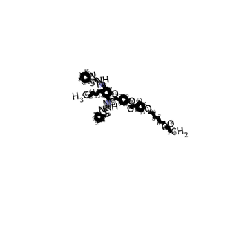 C=CC(=O)OCCCCCCOc1ccc(C(=O)Oc2ccc(C(=O)Oc3cc(/C=N/Nc4nc5ccccc5s4)c(CCCCC)cc3/C=N/Nc3nc4ccccc4s3)cc2)cc1